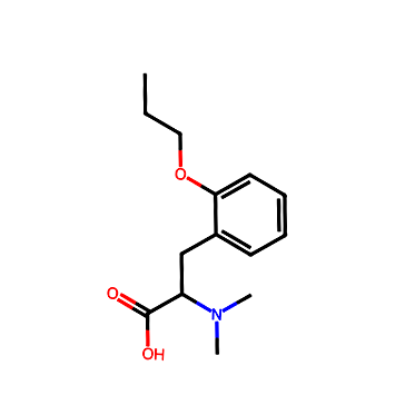 CCCOc1ccccc1CC(C(=O)O)N(C)C